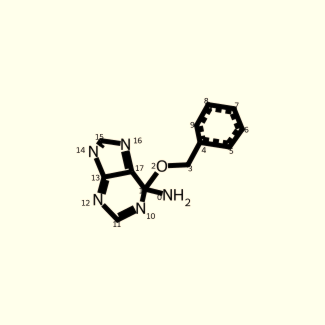 NC1(OCc2ccccc2)N=CN=C2N=CN=C21